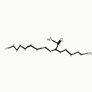 CCCCCCC(CCCCCCCCF)C(=O)O